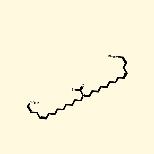 CCCCC/C=C\C/C=C\CCCCCCCCN(CCCCCCCC/C=C\C/C=C\CCCCC)C(=O)CC